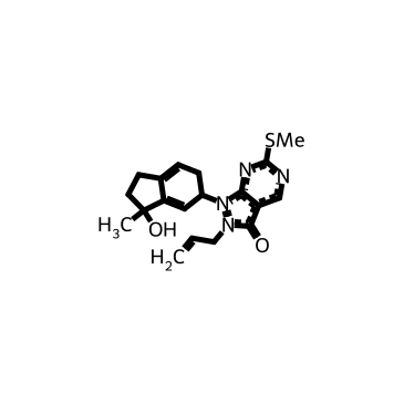 C=CCn1c(=O)c2cnc(SC)nc2n1C1C=C2C(=CC1)CCC2(C)O